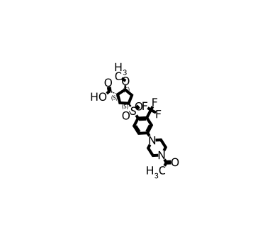 CO[C@H]1C[C@@H](S(=O)(=O)c2ccc(N3CCN(C(C)=O)CC3)cc2C(F)(F)F)C[C@@H]1C(=O)O